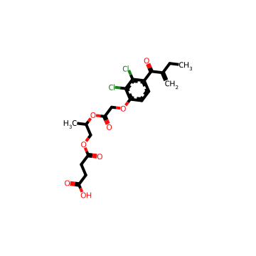 C=C(CC)C(=O)c1ccc(OCC(=O)OC(C)COC(=O)CCC(=O)O)c(Cl)c1Cl